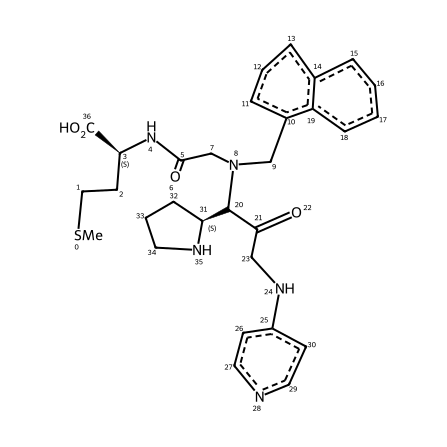 CSCC[C@H](NC(=O)CN(Cc1cccc2ccccc12)C(C(=O)CNc1ccncc1)[C@@H]1CCCN1)C(=O)O